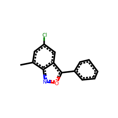 Cc1cc(Cl)cc2c(-c3ccccc3)onc12